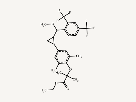 CCOC(=O)C(C)(C)Oc1c(C)cc(C2CC2C(OC)c2ccc(C(F)(F)F)cc2C(F)(F)F)cc1C